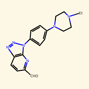 CCN1CCN(c2ccc(-n3nnc4ccc(C=O)nc43)cc2)CC1